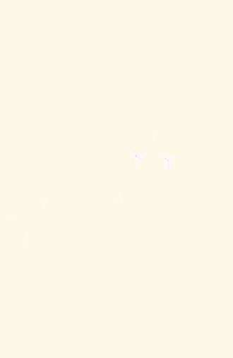 CCCCCCCN(CCOc1ccc(CC(OCC)C(=O)O)cc1)C(=O)Nc1ccc2c(c1)CCC2